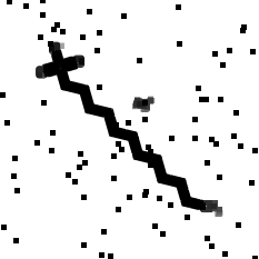 CCCCCCCCCCCCS(=O)(=O)[O-].[Ag+]